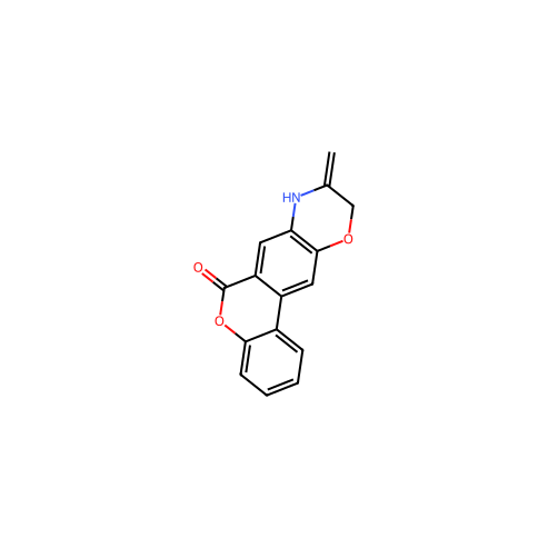 C=C1COc2cc3c(cc2N1)c(=O)oc1ccccc13